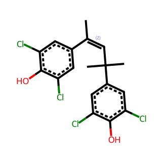 C/C(=C/C(C)(C)c1cc(Cl)c(O)c(Cl)c1)c1cc(Cl)c(O)c(Cl)c1